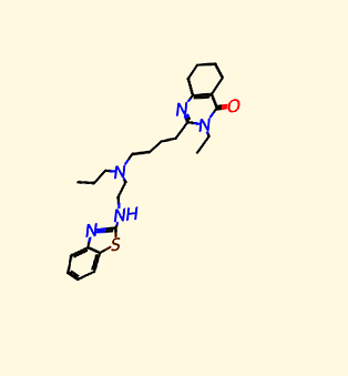 CCCN(CCCCc1nc2c(c(=O)n1CC)CCCC2)CCNc1nc2ccccc2s1